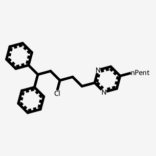 CCCCCc1cnc(CCC(Cl)CC(c2ccccc2)c2ccccc2)nc1